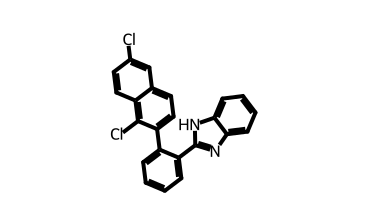 Clc1ccc2c(Cl)c(-c3ccccc3-c3nc4ccccc4[nH]3)ccc2c1